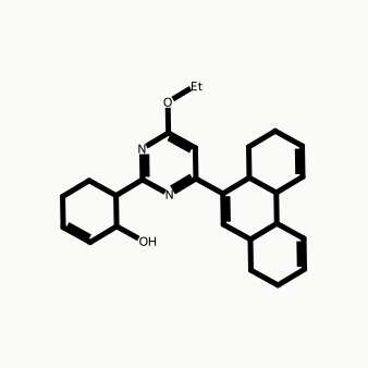 CCOc1cc(C2=CC3CCC=CC3C3C=CCCC23)nc(C2CCC=CC2O)n1